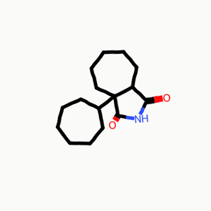 O=C1NC(=O)C2(C3CCCCCC3)CCCCCC12